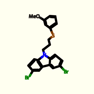 COc1cccc(SCCCn2c3ccc(Br)cc3c3cc(Br)ccc32)c1